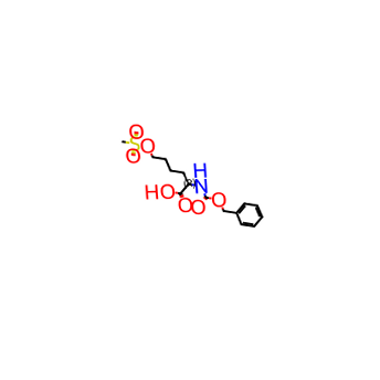 CS(=O)(=O)OCCCC[C@@H](NC(=O)OCc1ccccc1)C(=O)O